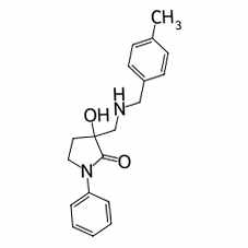 Cc1ccc(CNCC2(O)CCN(c3ccccc3)C2=O)cc1